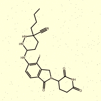 CCCCC1(C#N)CCC(Nc2ccc3c(c2I)CN(C2CCC(=O)NC2=O)C3=O)NN1